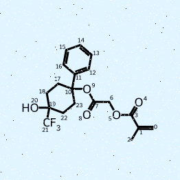 C=C(C)C(=O)OCC(=O)OC1(c2ccccc2)CCC(O)(C(F)(F)F)CC1